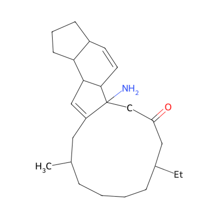 CCC1CCCCC(C)CC2=CC3C4CCCC4C=CC3C2(N)CC(=O)C1